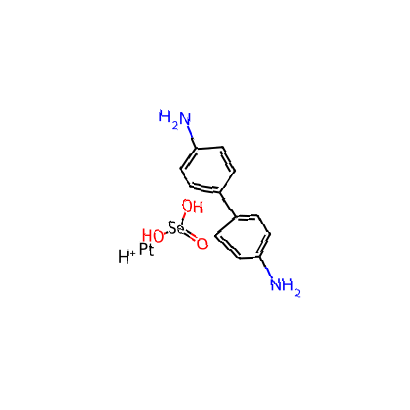 Nc1ccc(-c2ccc(N)cc2)cc1.O=[Se](O)O.[H+].[Pt]